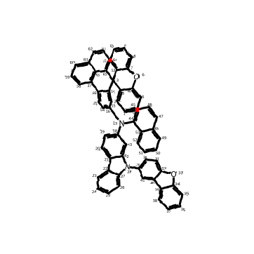 c1ccc2c(c1)Oc1ccccc1C21c2cc(N(c3ccc4c5ccccc5n(-c5ccc6oc7ccccc7c6c5)c4c3)c3cccc4ccccc34)ccc2-c2cccc3cccc1c23